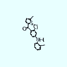 Cc1ccc(C(=O)c2ccc(Nc3ccccc3C)cc2Cl)s1